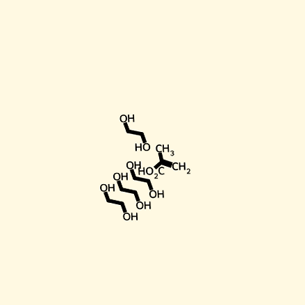 C=C(C)C(=O)O.OCCO.OCCO.OCCO.OCCO